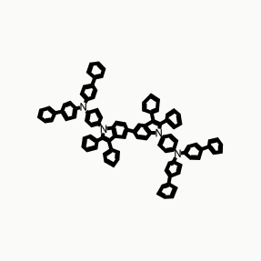 c1ccc(-c2ccc(N(c3ccc(-c4ccccc4)cc3)c3ccc(-n4c(-c5ccccc5)c(-c5ccccc5)c5cc(-c6ccc7c(c6)c(-c6ccccc6)c(-c6ccccc6)n7-c6ccc(N(c7ccc(-c8ccccc8)cc7)c7ccc(-c8ccccc8)cc7)cc6)ccc54)cc3)cc2)cc1